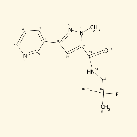 Cn1nc(-c2cccnc2)cc1C(=O)NCC(C)(F)F